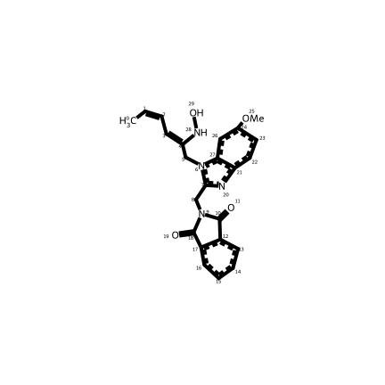 C/C=C\C=C(\Cn1c(CN2C(=O)c3ccccc3C2=O)nc2ccc(OC)cc21)NO